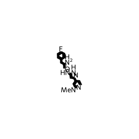 CNc1cc(-c2cc(NOC[C@@H](N)Cc3ccc(F)cc3)[nH]n2)ccn1